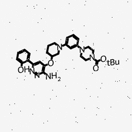 CC(C)(C)OC(=O)N1CCN(c2cccc(N3CCCC(Oc4cc(-c5ccccc5O)nnc4N)C3)c2)CC1